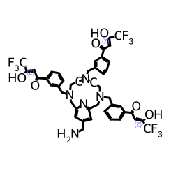 NCc1cc2nc(c1)CN(Cc1cccc(C(=O)/C=C(\O)C(F)(F)F)c1)CCN(Cc1cccc(C(=O)/C=C(\O)C(F)(F)F)c1)CCN(Cc1cccc(C(=O)/C=C(\O)C(F)(F)F)c1)C2